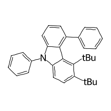 CC(C)(C)c1ccc2c(c1C(C)(C)C)c1c(-c3ccccc3)cccc1n2-c1ccccc1